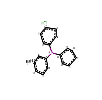 Cl.[RaH2].c1ccc(P(c2ccccc2)c2ccccc2)cc1